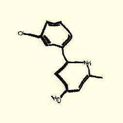 CC1=CC(O)CC(c2cccc(Cl)c2)N1